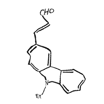 CCn1c2ccccc2c2cc(C=CC=O)ccc21